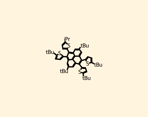 CC(C)c1ccc(-c2c(-c3ccc(C(C)(C)C)s3)c3cc(C(C)(C)C)cc4c(-c5ccc(C(C)(C)C)s5)c(-c5ccc(C(C)(C)C)s5)c5cc(C(C)(C)C)cc2c5c34)s1